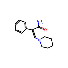 NC(=O)C(=CN1CCCCC1)c1ccccc1